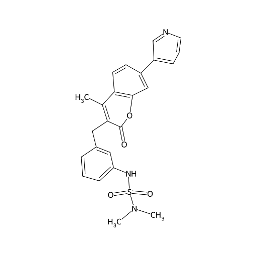 Cc1c(Cc2cccc(NS(=O)(=O)N(C)C)c2)c(=O)oc2cc(-c3cccnc3)ccc12